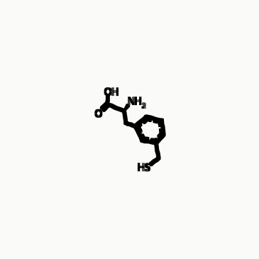 N[C@@H](Cc1cccc(CS)c1)C(=O)O